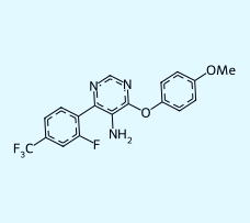 COc1ccc(Oc2ncnc(-c3ccc(C(F)(F)F)cc3F)c2N)cc1